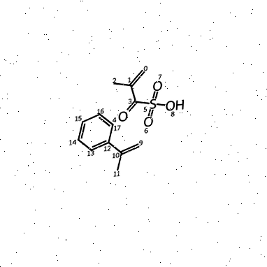 C=C(C)C(=O)S(=O)(=O)O.C=C(C)c1ccccc1